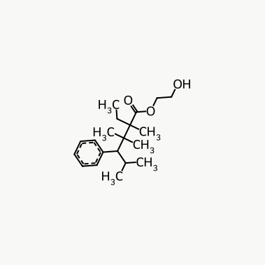 CCC(C)(C(=O)OCCO)C(C)(C)C(c1ccccc1)C(C)C